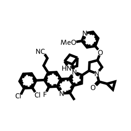 COc1cc(OC2CC(c3cc4c(C)nc5c(F)c(-c6cccc(Cl)c6Cl)c(CCC#N)cc5c4n3C3C4CNC3C4)N(C(=O)C3CC3)C2)ccn1